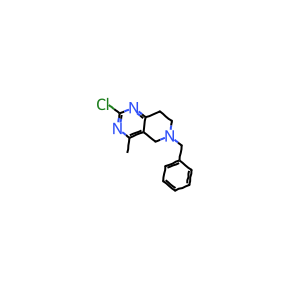 Cc1nc(Cl)nc2c1CN(Cc1ccccc1)CC2